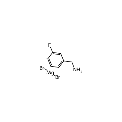 NCc1cc[c]c(F)c1.[Br][Mg][Br]